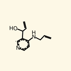 C=CCNc1ccn[c]c1C(O)C=C